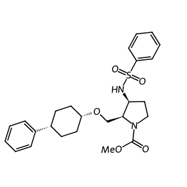 COC(=O)N1CC[C@H](NS(=O)(=O)c2ccccc2)[C@@H]1CO[C@H]1CC[C@@H](c2ccccc2)CC1